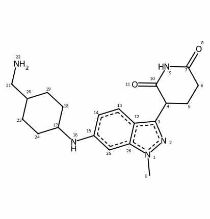 Cn1nc(C2CCC(=O)NC2=O)c2ccc(NC3CCC(CN)CC3)cc21